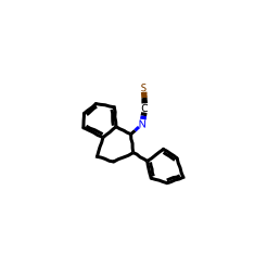 S=C=NC1c2ccccc2CCC1c1ccccc1